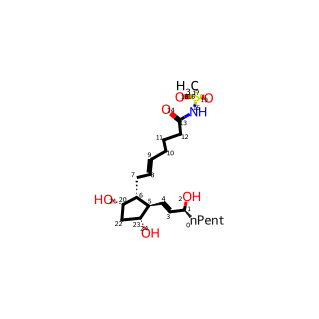 CCCCC[C@H](O)C=C[C@@H]1[C@@H](CC=CCCCC(=O)NS(C)(=O)=O)[C@@H](O)C[C@H]1O